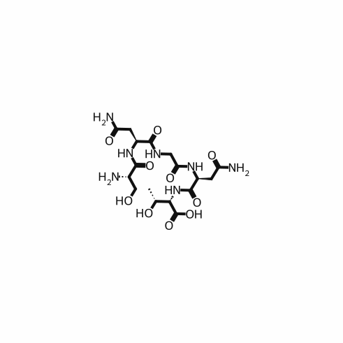 C[C@@H](O)[C@H](NC(=O)[C@H](CC(N)=O)NC(=O)CNC(=O)[C@H](CC(N)=O)NC(=O)[C@@H](N)CO)C(=O)O